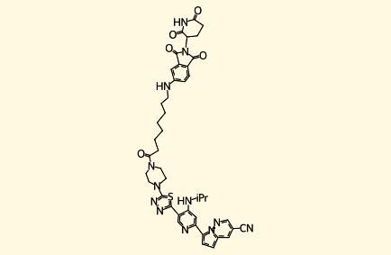 CC(C)Nc1cc(-c2ccc3cc(C#N)cnn23)ncc1-c1nnc(N2CCN(C(=O)CCCCCCCNc3ccc4c(c3)C(=O)N(C3CCC(=O)NC3=O)C4=O)CC2)s1